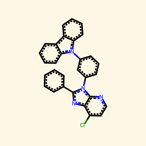 Clc1ccnc2c1nc(-c1ccccc1)n2-c1cccc(-n2c3ccccc3c3ccccc32)c1